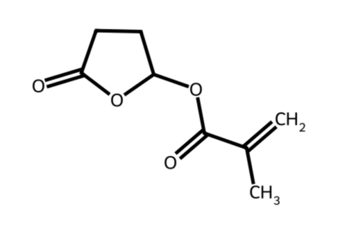 C=C(C)C(=O)OC1CCC(=O)O1